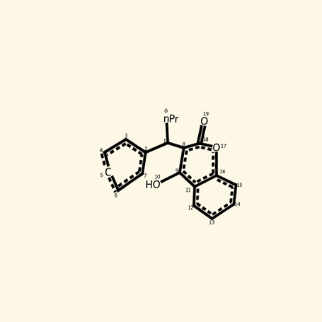 CCCC(c1ccccc1)c1c(O)c2ccccc2oc1=O